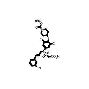 CC(C)(C)OC(=O)N1CCC(Oc2c(Cl)cc(N(C/C=C/c3cccc(C#N)c3)S(=O)(=O)CC(=O)O)cc2Cl)CC1